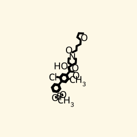 Cc1cc(-c2cccc(S(C)(=O)=O)c2)c(Cl)cc1C1=C(O)C2(CCN(C(=O)CCCC3CCCO3)CC2)OC1=O